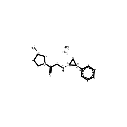 Cl.Cl.N[C@H]1CCN(C(=O)CN[C@@H]2C[C@H]2c2ccccc2)C1